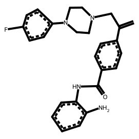 C=C(CN1CCN(c2ccc(F)cc2)CC1)c1ccc(C(=O)Nc2ccccc2N)cc1